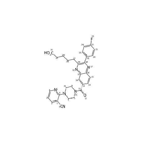 N#Cc1cccnc1N1CCN(C(=O)c2ccc3nc(-c4ccc(F)cc4)c(CCCCC(=O)O)nc3c2)CC1